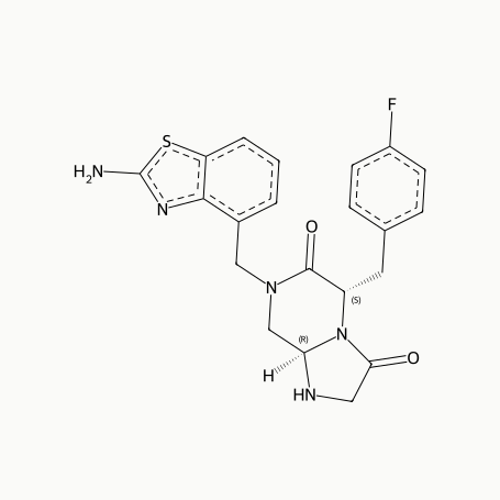 Nc1nc2c(CN3C[C@@H]4NCC(=O)N4[C@@H](Cc4ccc(F)cc4)C3=O)cccc2s1